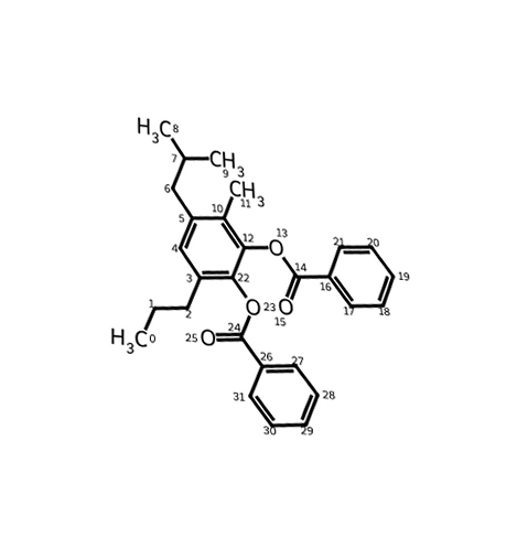 CCCc1cc(CC(C)C)c(C)c(OC(=O)c2ccccc2)c1OC(=O)c1ccccc1